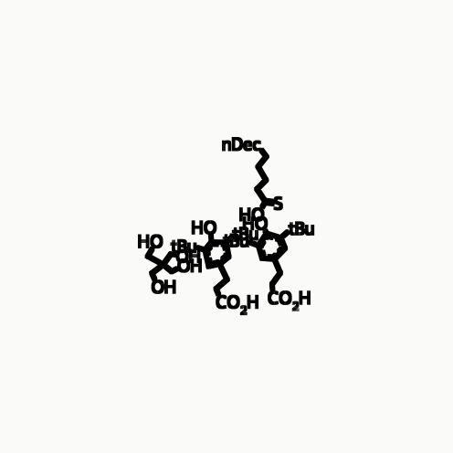 CC(C)(C)c1cc(CCC(=O)O)cc(C(C)(C)C)c1O.CC(C)(C)c1cc(CCC(=O)O)cc(C(C)(C)C)c1O.CCCCCCCCCCCCCCC(O)=S.OCC(CO)(CO)CO